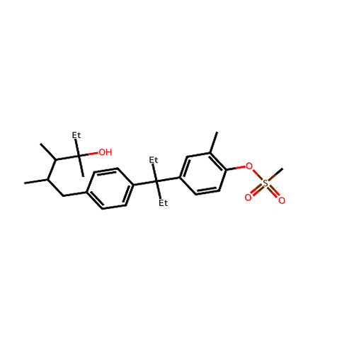 CCC(CC)(c1ccc(CC(C)C(C)C(C)(O)CC)cc1)c1ccc(OS(C)(=O)=O)c(C)c1